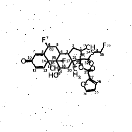 C[C@@H]1CC2C3C[C@H](F)C4=CC(=O)C=CC4(C)[C@@]3(F)C(O)CC2(C)[C@@]1(OC(=O)c1ccco1)C(=O)SCF